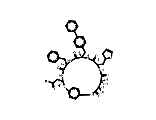 O=C(O)C[C@@H]1Cc2ccc(cc2)NC(=O)[C@H](O)[C@@H](O)C(=O)N[C@H](CC2CC=CS2)C(=O)N[C@@H](Cc2ccc(-c3ccccc3)cc2)C(=O)N[C@H](Cc2ccccc2)C(=O)N1